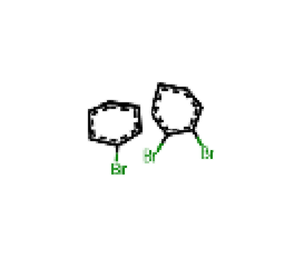 Brc1ccccc1.Brc1ccccc1Br